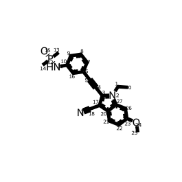 CCn1c(C#Cc2cccc(NP(C)(C)=O)c2)c(C#N)c2ccc(OC)cc21